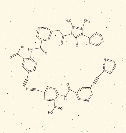 Cc1c(C(=O)Cc2cncc(C(=O)Nc3ccc(C#N)cc3C(=O)O)c2)c(=O)n(-c2ccccc2)n1C.N#Cc1ccc(NC(=O)c2cncc(C#Cc3ccccc3)c2)c(C(=O)O)c1